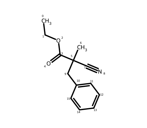 CCOC(=O)C(C)(C#N)Cc1ccccc1